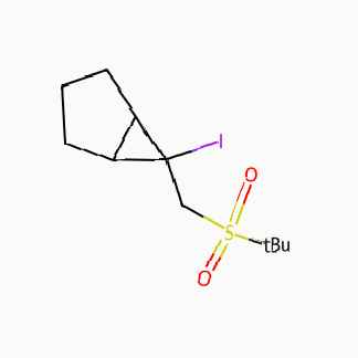 CC(C)(C)S(=O)(=O)CC1(I)C2CCCC21